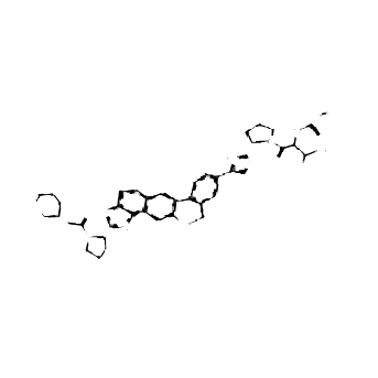 COC(=O)NC(C(=O)N1[C@@H](C)CC[C@H]1c1ncc(-c2ccc3c(c2)COc2cc4c(ccc5nc([C@@H]6CC[C@H](C)N6C(=O)C[C@H]6CCCOC6)[nH]c54)cc2-3)[nH]1)C(C)C